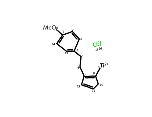 COc1ccc(CCC2=[C]([Ti+2])CC=C2)cc1.[Cl-].[Cl-]